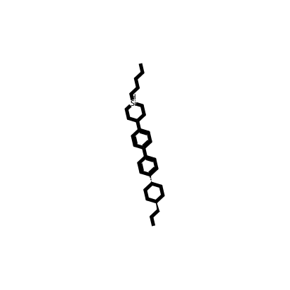 CCCCC[SiH]1CCC(c2ccc(-c3ccc([C@H]4CC[C@H](CCC)CC4)cc3)cc2)CC1